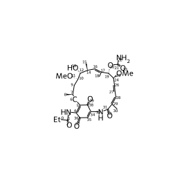 CCC(=O)NC1=C2C[C@@H](C)C[C@H](OC)[C@H](O)[C@@H](C)/C=C(\C)[C@H](OC(N)=O)[C@@H](OC)/C=C/C=C(/C)C(=O)NC(=CC1=O)C2=O